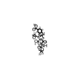 COC(=O)CN(Cc1nc2ccc(C(=O)OC)cc2n1CC1CCO1)C(=O)CNC(=O)OC(C)(C)C